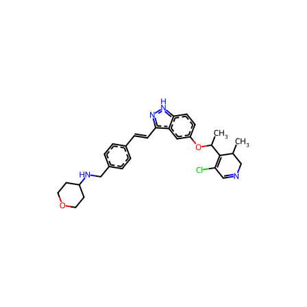 CC1CN=CC(Cl)=C1C(C)Oc1ccc2[nH]nc(/C=C/c3ccc(CNC4CCOCC4)cc3)c2c1